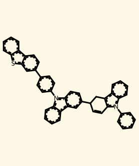 C1=CC(c2ccc3c(c2)c2ccccc2n3-c2ccc(-c3ccc4c(c3)sc3ccccc34)cc2)Cc2c1n(-c1ccccc1)c1ccccc21